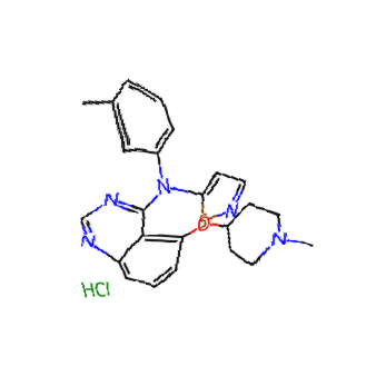 Cc1cccc(N(c2ccns2)c2ncnc3cccc(OC4CCN(C)CC4)c23)c1.Cl